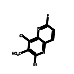 CCc1nc2ccc(F)nc2c(Cl)c1C(=O)O